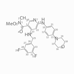 CON(C)C(=O)c1cnc(Nc2ccc(N3CCOCC3)cc2)cc1NCc1cc(F)cc(F)c1